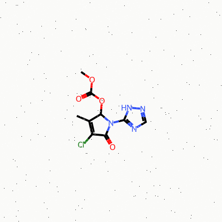 COC(=O)OC1C(C)=C(Cl)C(=O)N1c1ncn[nH]1